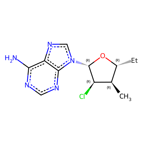 CC[C@H]1O[C@@H](n2cnc3c(N)ncnc32)[C@H](Cl)[C@@H]1C